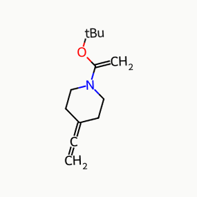 C=C=C1CCN(C(=C)OC(C)(C)C)CC1